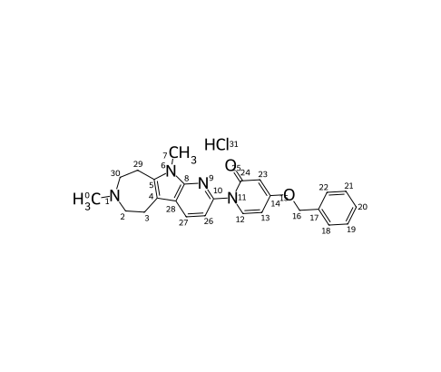 CN1CCc2c(n(C)c3nc(-n4ccc(OCc5ccccc5)cc4=O)ccc23)CC1.Cl